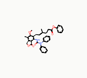 COc1c(C)c2c(c(NC(=O)N(c3ccccc3)c3ccccc3)c1C/C=C(\C)CCC(=O)Oc1ccccc1)C(=O)OC2